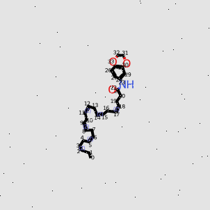 CC/C=C\C/C=C\C/C=C\C/C=C\C/C=C\C/C=C\CCC(=O)Nc1ccc2c(c1)OCCO2